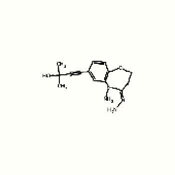 CC(C)(O)C#Cc1ccc2c(c1)N(N)/C(=N\N)CCO2